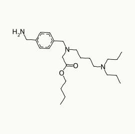 CCCCOC(=O)CN(CCCCN(CCC)CCC)Cc1ccc(CN)cc1